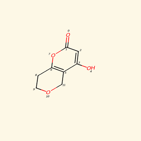 O=c1cc(O)c2c(o1)CCOC2